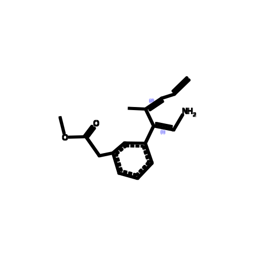 C=C/C=C(C)\C(=C/N)c1cccc(CC(=O)OC)c1